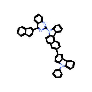 c1ccc(-n2c3ccccc3c3cc(-c4ccc5c(ccc6c5c5ccccc5n6-c5nc(-c6ccc7ccccc7c6)c6ccccc6n5)c4)ccc32)cc1